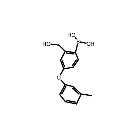 Cc1cccc(Oc2ccc(B(O)O)c(CO)c2)c1